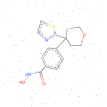 O=C(NO)c1ccc(C2(c3nccs3)CCOCC2)cc1